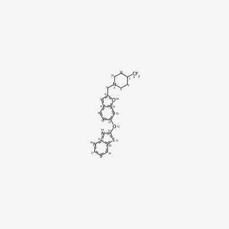 FC(F)(F)C1CCN(Cc2cc3ccc(Oc4nc5ncccc5s4)cc3o2)CC1